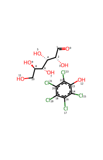 O=C[C@H](O)[C@@H](O)[C@H](O)[C@H](O)CO.Oc1c(Cl)c(Cl)c(Cl)c(Cl)c1Cl